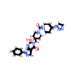 O=C(N1CCC(n2ccnn2)CC1)N1CCC(O)(Cn2cnc3c(cnn3-c3ccc(F)cc3)c2=O)CC1